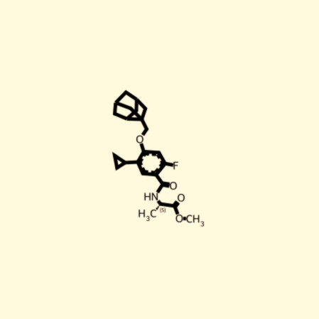 COC(=O)[C@H](C)NC(=O)c1cc(C2CC2)c(OCC23CC4CC(CC2C4)C3)cc1F